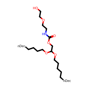 CCCCCCCCCCCCCCCOC(COC(=O)NCCOCCO)OCCCCCCCCCCCCCC